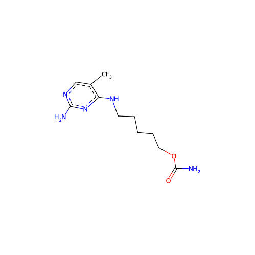 NC(=O)OCCCCCNc1nc(N)ncc1C(F)(F)F